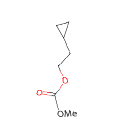 [CH2]OC(=O)OCCC1CC1